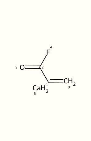 C=CC(=O)F.[CaH2]